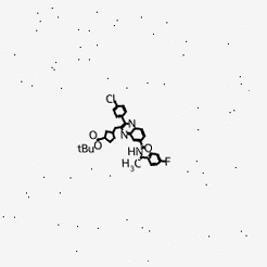 CC(NC(=O)c1ccc2nc(-c3ccc(Cl)cc3)c(CC3CCC(C(=O)OC(C)(C)C)C3)nc2c1)c1ccc(F)cc1